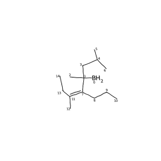 BC(C)(CC(C)C)/C(CCC)=C(/C)CC